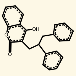 O=c1oc2ccccc2c(O)c1CC(Cc1ccccc1)c1ccccc1